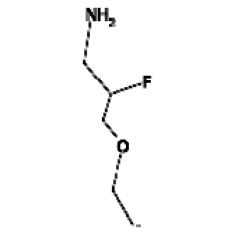 [CH2]COCC(F)CN